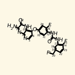 Nc1nc2nccc(Oc3ccc(NC(=O)Nc4cc(CF)ccc4F)c(F)c3)c2[nH]c1=O